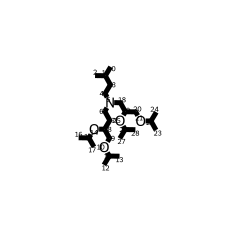 CC(C)CCN(CCC(COC(C)C)OC(C)C)CC(COC(C)C)OC(C)C